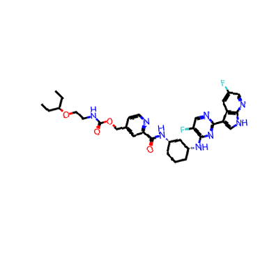 CCC(CC)OCCNC(=O)OCc1ccnc(C(=O)N[C@H]2CCC[C@@H](Nc3nc(-c4c[nH]c5ncc(F)cc45)ncc3F)C2)c1